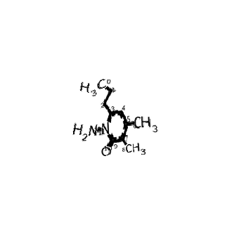 CCCc1cc(C)c(C)c(=O)n1N